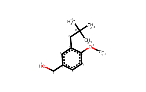 COc1ccc(CO)cc1CC(C)(C)C